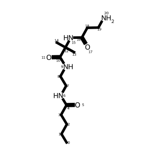 CCCCC(=O)NCCNC(=O)C(C)(C)NC(=O)CCN